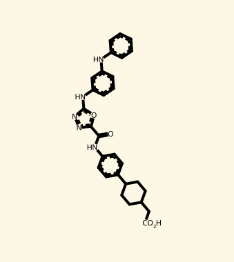 O=C(O)CC1CCC(c2ccc(NC(=O)c3nnc(Nc4cccc(Nc5ccccc5)c4)o3)cc2)CC1